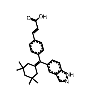 CC1(C)CC(=C(c2ccc(C=CC(=O)O)cc2)c2ccc3[nH]ncc3c2)CC(C)(C)C1